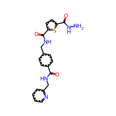 NNC(=O)c1ccc(C(=O)NCc2ccc(C(=O)NCc3ccccn3)cc2)s1